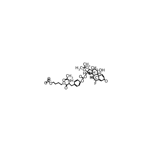 CC(=O)NC(Cc1ccc(OC(=O)OCC(=O)[C@@]23OC(C)(C)O[C@@H]2C[C@H]2[C@@H]4C[C@H](F)C5=CC(=O)C=C[C@]5(C)[C@H]4[C@@H](O)C[C@@]23C)cc1)C(=O)OCCCCO[N+](=O)[O-]